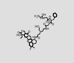 CC[C@@]1(O)C(=O)OCc2c1cc1n(c2=O)Cc2c-1nc1cc(F)c(C)c3c1c2[C@@H](NC(=O)CCN(CCO)CCNC(=O)CNC(=O)[C@H](Cc1ccccc1)NC(=O)CNC(O)CN)CC3